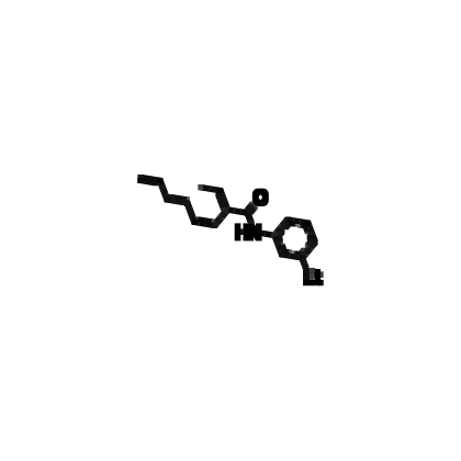 C=C/C=C/C=C\C(=C/C)C(=O)Nc1cccc(CC)c1